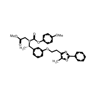 COC(=O)CN(C(=O)Oc1ccc(OC)cc1)[C@@H](C)c1cccc(OCCc2nc(-c3ccccc3)oc2C)c1